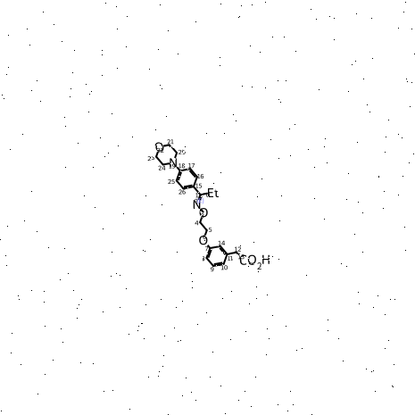 CC/C(=N\OCCOc1cccc(CC(=O)O)c1)c1ccc(N2CCOCC2)cc1